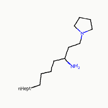 CCCCCCCCCCCC(N)CCN1CCCC1